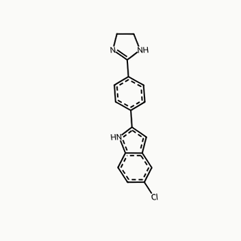 Clc1ccc2[nH]c(-c3ccc(C4=NCCN4)cc3)cc2c1